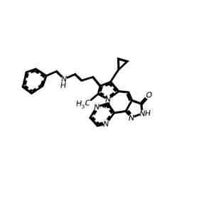 Cc1[nH]c(/C=C2/C(=O)NN=C2c2cnccn2)c(C2CC2)c1CCCNCc1ccccc1